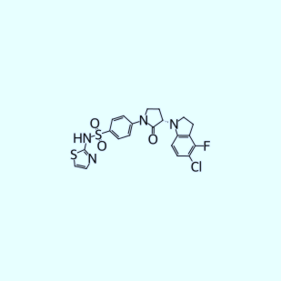 O=C1[C@@H](N2CCc3c2ccc(Cl)c3F)CCN1c1ccc(S(=O)(=O)Nc2nccs2)cc1